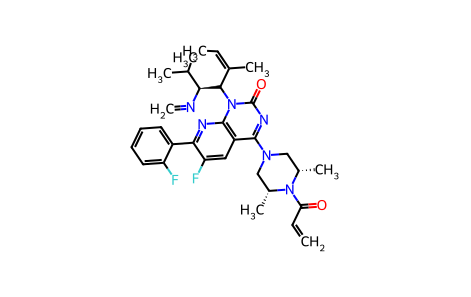 C=CC(=O)N1[C@H](C)CN(c2nc(=O)n(C(/C(C)=C\C)[C@@H](N=C)C(C)C)c3nc(-c4ccccc4F)c(F)cc23)C[C@@H]1C